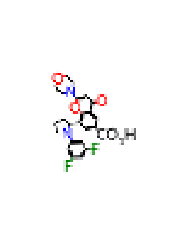 O=C(O)c1cc([C@H]2CCCN2c2cc(F)cc(F)c2)c2oc(N3CCOCC3)cc(=O)c2c1